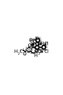 C=CC(=O)N1CC(C)N2c3nc(=O)n(-c4c(C)ccnc4C(C)C)c4c(F)c(-c5c(N)c(Cl)cc(Cl)c5F)c(Cl)c(c34)NCCC2C1